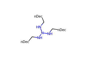 CCCCCCCCCCCNN(NCCCCCCCCCCC)NCCCCCCCCCCC